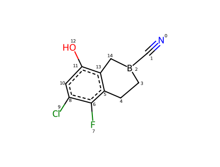 N#CB1CCc2c(F)c(Cl)cc(O)c2C1